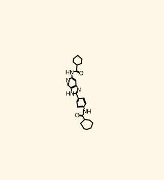 O=C(Nc1ccc(-c2nc3cc(NC(=O)C4CCCCC4)ncc3[nH]2)cc1)C1CCCCCC1